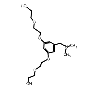 CN(C)Cc1cc(OCCOCCO)cc(OCCOCCO)c1